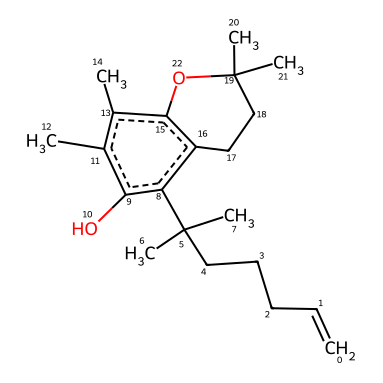 C=CCCCC(C)(C)c1c(O)c(C)c(C)c2c1CCC(C)(C)O2